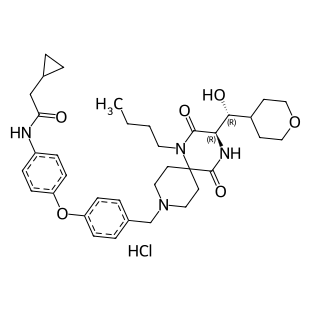 CCCCN1C(=O)[C@@H]([C@H](O)C2CCOCC2)NC(=O)C12CCN(Cc1ccc(Oc3ccc(NC(=O)CC4CC4)cc3)cc1)CC2.Cl